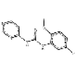 COc1ccc(Cl)cc1NC(=O)Nc1ccncn1